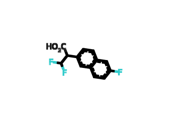 O=C(O)C(c1ccc2cc(F)ccc2c1)C(F)F